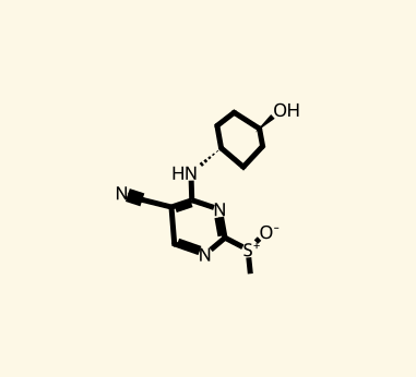 C[S+]([O-])c1ncc(C#N)c(N[C@H]2CC[C@H](O)CC2)n1